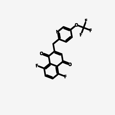 O=C1C=C(Cc2ccc(OC(F)(F)F)cn2)C(=O)c2c(F)ccc(F)c21